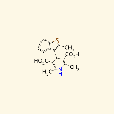 CC1=C(C(=O)O)C(c2c(C)sc3ccccc23)C(C(=O)O)=C(C)N1